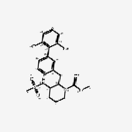 COC(=O)N1CCCC(NS(C)(=O)=O)C1Cc1cccc(-c2c(F)cccc2F)c1